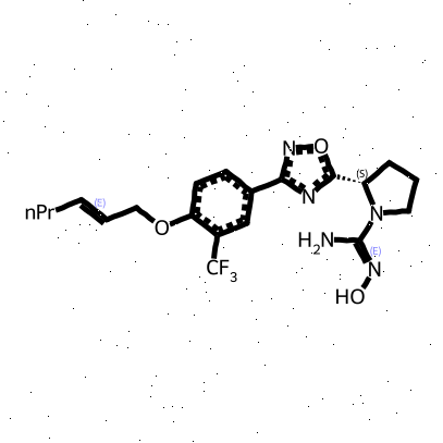 CCC/C=C/COc1ccc(-c2noc([C@@H]3CCCN3/C(N)=N/O)n2)cc1C(F)(F)F